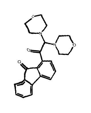 O=C1c2ccccc2-c2cccc(C(=O)C(N3CCOCC3)N3CCOCC3)c21